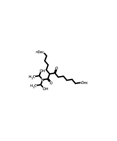 CCCCCCCCCCCCCCCC(=O)C(CCCCCCCCCCCCCC)C(=O)N(C(C)O)C(C)O